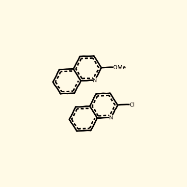 COc1ccc2ccccc2n1.Clc1ccc2ccccc2n1